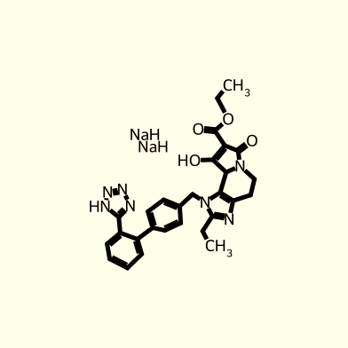 CCOC(=O)C1=C(O)C2c3c(nc(CC)n3Cc3ccc(-c4ccccc4-c4nnn[nH]4)cc3)CCN2C1=O.[NaH].[NaH]